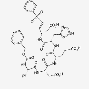 CC(C)[C@H](NC(=O)OCc1ccccc1)C(=O)N[C@@H](CC(=O)O)C(=O)N[C@@H](CCC(=O)O)C(=O)N[C@@H](Cc1c[nH]cn1)C(=O)N[C@H](/C=C/S(=O)(=O)c1ccccc1)CC(=O)O